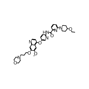 CCOC1CCN(c2cccc(C(=O)Nc3ccc(Oc4ccnc5cc(OCCCN6CCOCC6)c(OC)cc45)cn3)n2)CC1